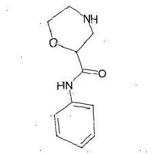 O=C(Nc1[c]cccc1)C1CNCCO1